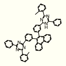 Cc1ccccc1C1=NC(c2cccc(-c3c(-c4cccc(-c5nc(-c6ccccc6)nc(-c6ccccc6C)n5)c4)c4ccccc4c4ccccc34)c2)NC(c2ccccc2)=N1